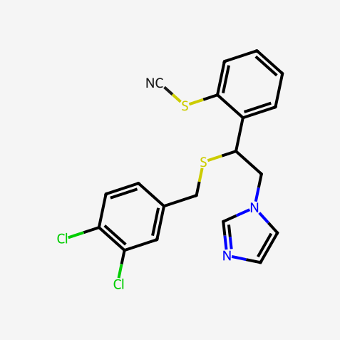 N#CSc1ccccc1C(Cn1ccnc1)SCc1ccc(Cl)c(Cl)c1